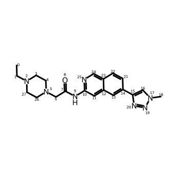 CCN1CCN(CC(=O)Nc2cc3cc(-c4cn(C)nn4)ccc3cn2)CC1